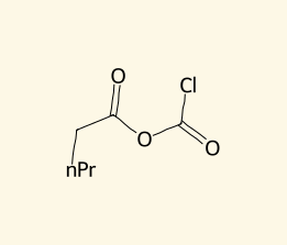 CCCCC(=O)OC(=O)Cl